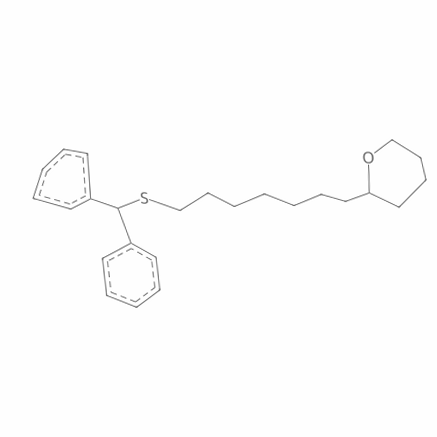 c1ccc(C(SCCCCCCCC2CCCCO2)c2ccccc2)cc1